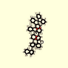 c1ccc(C2(c3ccccc3)c3ccccc3-c3c(-c4ccccc4N(c4ccc(-c5ccc(-c6cccc7ccccc67)cc5)cc4)c4ccccc4-c4ccc5c(c4)oc4ccccc45)cccc32)cc1